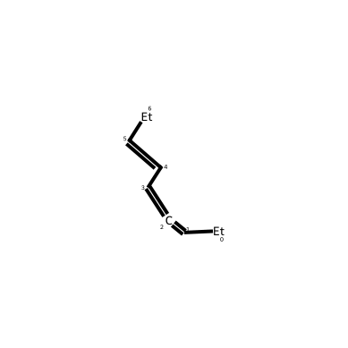 CCC=C=CC=CCC